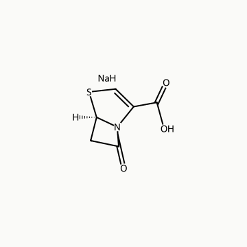 O=C(O)C1=CS[C@@H]2CC(=O)N12.[NaH]